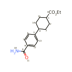 CCOC(=O)C1CCC(c2ccc(C(N)=O)cc2)CC1